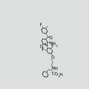 Cc1cc(C(=O)c2ccc(=O)n(-c3c(F)cc(OCCCN[C@@H](Cc4ccccc4)C(=O)O)cc3F)c2N)ccc1F